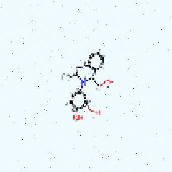 CC(Cc1ccccc1)N(CCO)c1ccc(O)c(O)c1